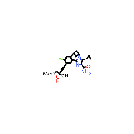 COCC(C)(O)C#Cc1cc2c(cc1F)C1=CC(C1)n1c-2nc(C(N)=O)c1C1CC1